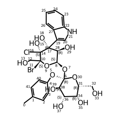 Cc1ccc(O[C@]2(O[C@H]3O[C@](Br)(CO)[C@@](O)(Cl)[C@@](O)(c4c[nH]c5ccccc45)[C@H]3O)O[C@H](CO)[C@H](O)[C@H](O)[C@H]2O)cc1